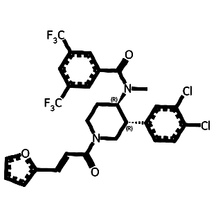 CN(C(=O)c1cc(C(F)(F)F)cc(C(F)(F)F)c1)[C@@H]1CCN(C(=O)C=Cc2ccco2)C[C@H]1c1ccc(Cl)c(Cl)c1